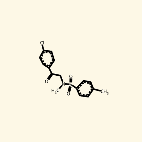 Cc1ccc(S(=O)(=O)N(C)CC(=O)c2ccc(Cl)cc2)cc1